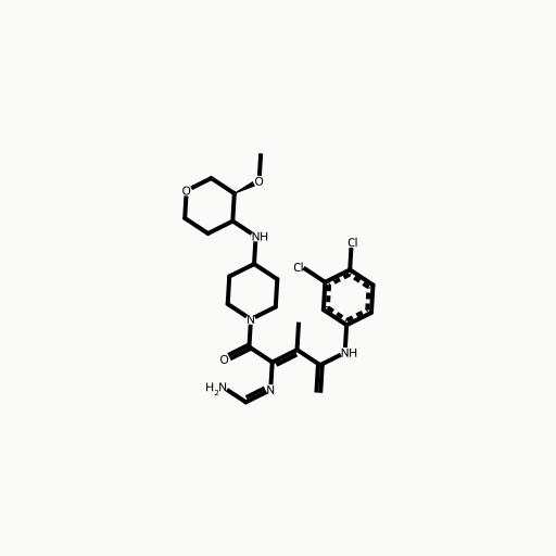 C=C(Nc1ccc(Cl)c(Cl)c1)/C(C)=C(\N=C/N)C(=O)N1CCC(NC2CCOC[C@H]2OC)CC1